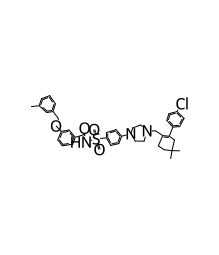 Cc1cccc(COc2cccc(C(=O)NS(=O)(=O)c3ccc(N4CCN(CC5=C(c6ccc(Cl)cc6)CC(C)(C)CC5)CC4)cc3)c2)c1